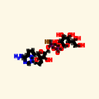 C=C[C@@]1(OC)[C@H](O)[C@@H](COP(=O)(S)OP(=O)(O)OC2OC([C@@H](O)CO)C(O)C(O)C2O)O[C@H]1c1ccc2c(N)ncnn12